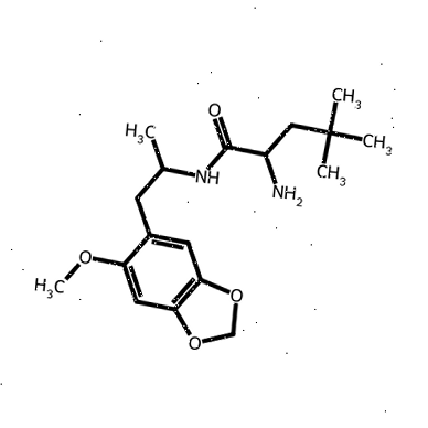 COc1cc2c(cc1CC(C)NC(=O)C(N)CC(C)(C)C)OCO2